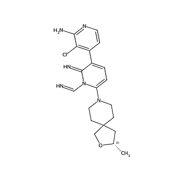 C[C@H]1CC2(CCN(c3ccc(-c4ccnc(N)c4Cl)c(=N)n3C=N)CC2)CO1